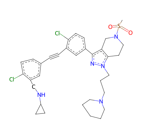 CS(=O)(=O)N1CCc2c(c(-c3ccc(Cl)c(C#Cc4ccc(Cl)c(CNC5CC5)c4)c3)nn2CCCN2CCCCC2)C1